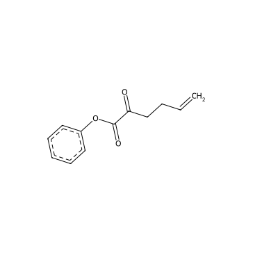 C=CCCC(=O)C(=O)Oc1ccccc1